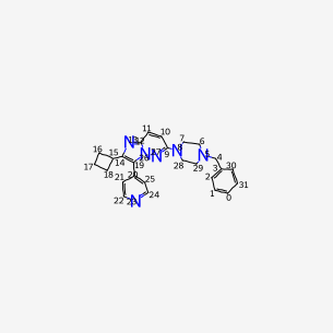 c1ccc(CN2CCN(c3ccc4nc(C5CCC5)c(-c5ccncc5)n4n3)CC2)cc1